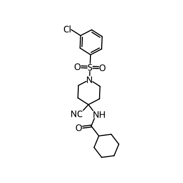 N#CC1(NC(=O)C2CCCCC2)CCN(S(=O)(=O)c2cccc(Cl)c2)CC1